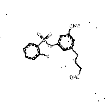 COc1cc(CCCC=O)cc(OS(=O)(=O)c2ccccc2Cl)c1